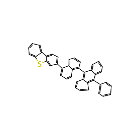 c1ccc(-c2c3ccccc3c(-c3cccc4c(-c5ccc6c(c5)sc5ccccc56)cccc34)c3ccccc23)cc1